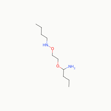 CCCCNOCCOC(N)CCC